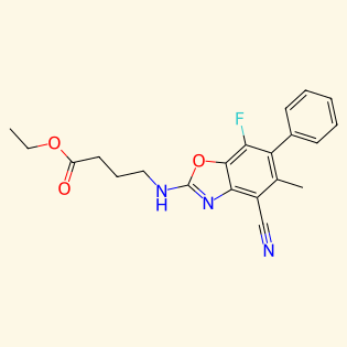 CCOC(=O)CCCNc1nc2c(C#N)c(C)c(-c3ccccc3)c(F)c2o1